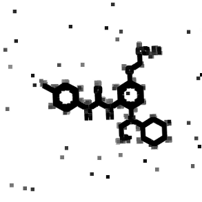 CCOC(=O)COc1ccc(N(CC(C)C)C2CCCCC2)c(NC(=O)Nc2ccc(C)cc2)c1